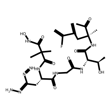 C=C(F)C(=C)C[C@](C)(NC(=O)[C@@H](NC(=O)CNC(=O)[C@H](C/C(N=N)=N/N)NC(=O)C(C)(C)C(=O)NO)[C@@H](C)O)C(C)=O